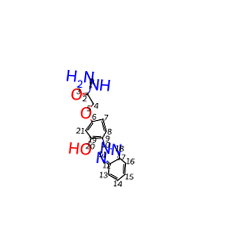 NNC(=O)COc1ccc(-n2nc3ccccc3n2)c(O)c1